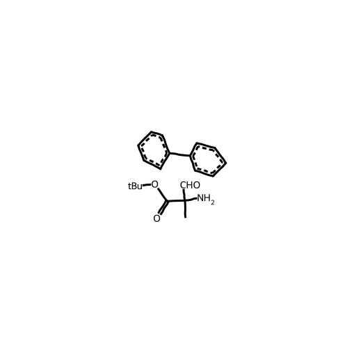 CC(C)(C)OC(=O)C(C)(N)C=O.c1ccc(-c2ccccc2)cc1